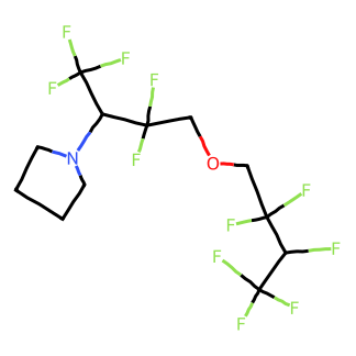 FC(C(F)(F)F)C(F)(F)COCC(F)(F)C(N1CCCC1)C(F)(F)F